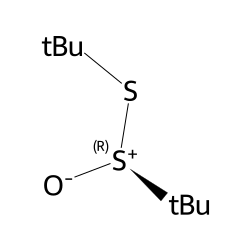 CC(C)(C)S[S@+]([O-])C(C)(C)C